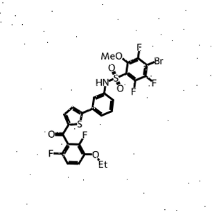 CCOc1ccc(F)c(C(=O)c2ccc(-c3cccc(NS(=O)(=O)c4c(F)c(F)c(Br)c(F)c4OC)c3)s2)c1F